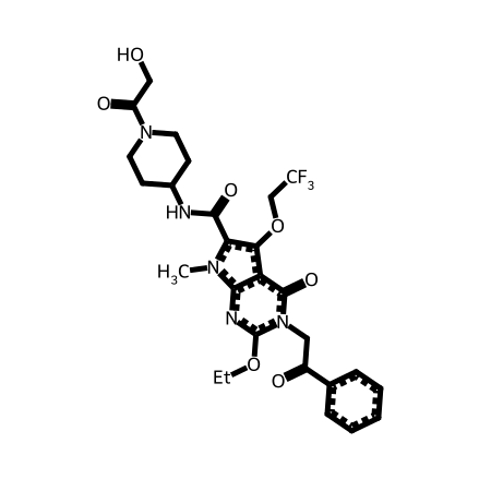 CCOc1nc2c(c(OCC(F)(F)F)c(C(=O)NC3CCN(C(=O)CO)CC3)n2C)c(=O)n1CC(=O)c1ccccc1